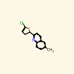 Cc1ccc2nc(C3CC=C(Cl)S3)ccc2c1